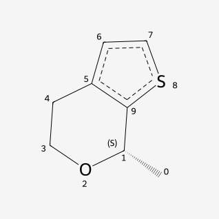 C[C@@H]1OCCc2ccsc21